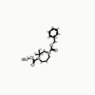 CC(C)(C)OC(=O)N1CCCN(C(=O)OCc2ccccc2)CC1(C)C